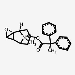 CC(C(=O)O[C@H]1CC2C3C4O[C@@]43[C@H](C1)[N+]2(C)C)(c1ccccc1)c1ccccc1